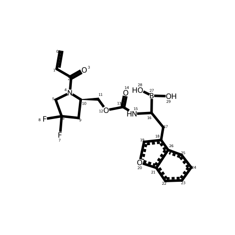 C=CC(=O)N1CC(F)(F)C[C@@H]1COC(=O)NC(Cc1coc2ccccc12)B(O)O